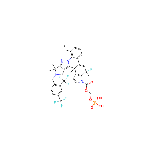 CCc1cccc2c1-n1nc3c(c1C1(C)C2=CC(C)(F)c2c1ccn2C(=O)OCOP(=O)(O)O)CN(Cc1ccc(C(F)(F)F)cc1C(F)(F)F)C3(C)C